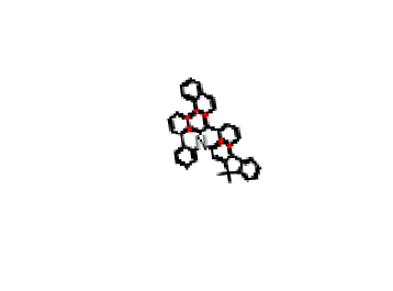 CC1(C)c2ccccc2-c2ccc(N(c3ccccc3-c3ccccc3)c3ccccc3-c3cccc(-c4cccc5ccccc45)c3)cc21